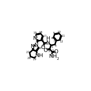 NC(=O)C(=O)C(Cc1ccccc1)NC(=O)c1cccnc1-n1cc2c(n1)CCCN2